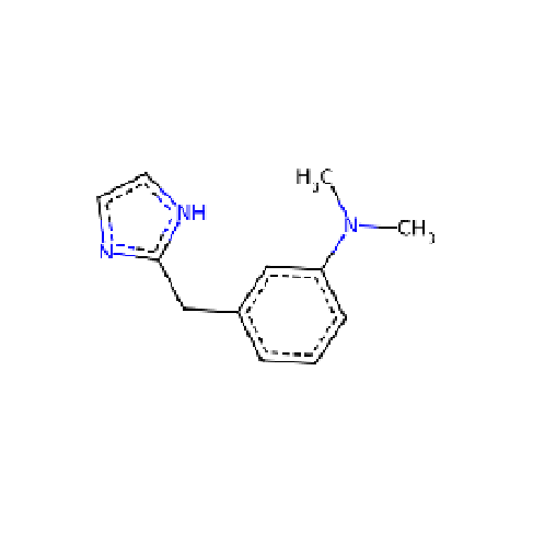 CN(C)c1cccc(Cc2ncc[nH]2)c1